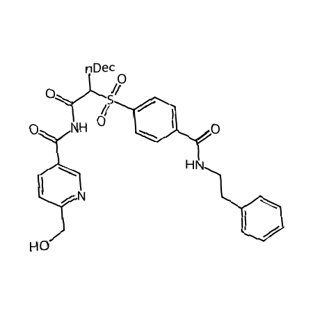 CCCCCCCCCCC(C(=O)NC(=O)c1ccc(CO)nc1)S(=O)(=O)c1ccc(C(=O)NCCc2ccccc2)cc1